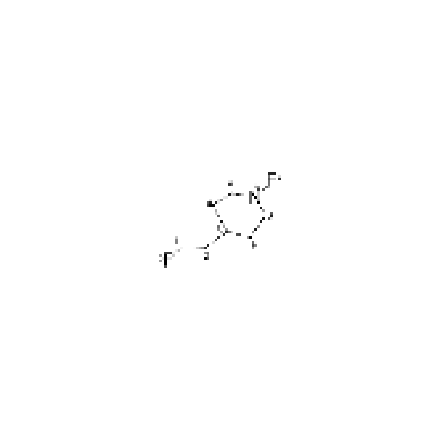 FCCC1CCN(F)CC1